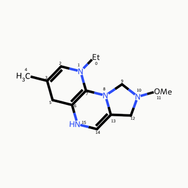 CCN1C=C(C)CC2=C1N1CN(OC)CC1=CN2